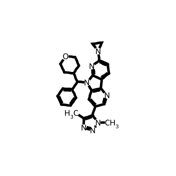 Cc1nnn(C)c1-c1cnc2c3ccc(N4CC4)nc3n(C(c3ccccc3)C3CCOCC3)c2c1